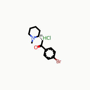 CN1CCCC[C@@H]1CC(=O)c1ccc(Br)cc1.Cl